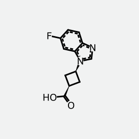 O=C(O)[C@H]1C[C@@H](n2cnc3ccc(F)cc32)C1